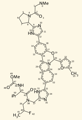 CNCC(=O)N1CCCC1c1ncc(-c2ccc3c(c2)OC(c2ccc(C)o2)n2c-3cc3cc(-c4cnc(CN(CC(C)F)C(=O)C(NC(=O)OC)C(C)C)[nH]4)ccc32)[nH]1